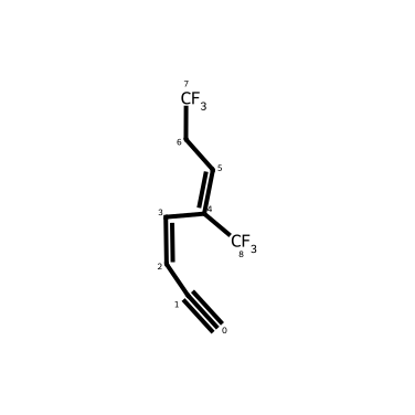 C#C/C=C\C(=C/CC(F)(F)F)C(F)(F)F